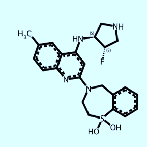 Cc1ccc2nc(N3CCS(O)(O)c4ccccc4C3)cc(N[C@H]3CNC[C@@H]3F)c2c1